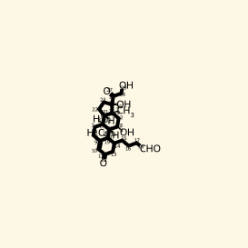 C[C@]12C[C@H](O)[C@H]3[C@@H](CCC4=CC(=O)CC(CCCC=O)[C@@]43C)[C@@H]1CC[C@]2(O)C(=O)CO